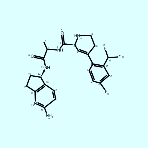 CC(NC(=O)[C@@H]1C=C(c2ccc(F)cc2C(F)F)CCN1)C(=O)N[C@@H]1CCc2nc(N)ccc21